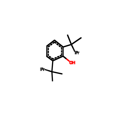 CC(C)C(C)(C)c1cccc(C(C)(C)C(C)C)c1O